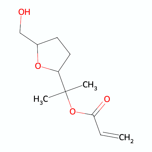 C=CC(=O)OC(C)(C)C1CCC(CO)O1